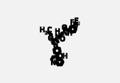 CCCO[C@@H]1CN(C2CCC(O)(c3ccnc4ccccc34)CC2)C[C@@H]1NC(=O)CNC(=O)c1cccc(C(F)(F)F)c1